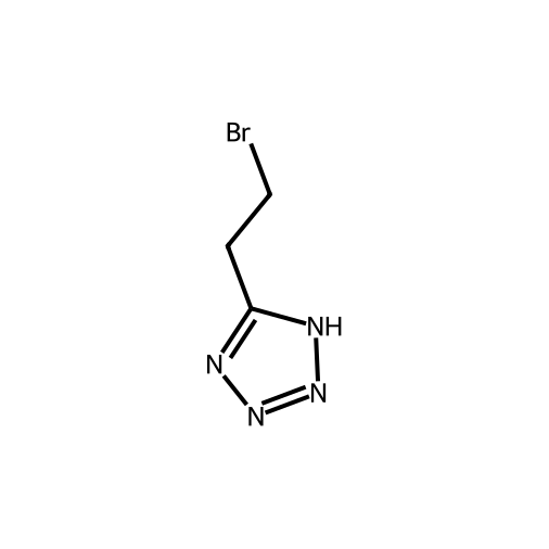 BrCCc1nnn[nH]1